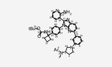 CC(=O)N(C)[C@@H]1CCN(c2cccc(-c3ccc4nc(-c5cccnc5N)n(-c5ccc(C6(NC(=O)OC(C)(C)C)CCC6)cc5)c4n3)c2)C1